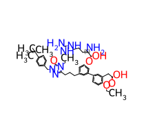 CCOc1ccc(-c2cccc(CCCc3nn(Cc4ccc(C(C)(C)C)cc4)c(=O)n3CC)c2)cc1CC(=O)O.N=C(N)NCCC[C@H](N)C(=O)O